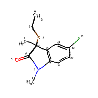 CCSC1(C)C(=O)N(C)c2ccc(F)cc21